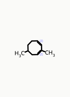 CC1=C/CC(C)CC/C=C\1